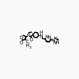 CC1=C(N2CC[C@]3(CC[C@H](NCc4ccc(-n5ncnn5)nn4)CC3)C2=O)COC1=O